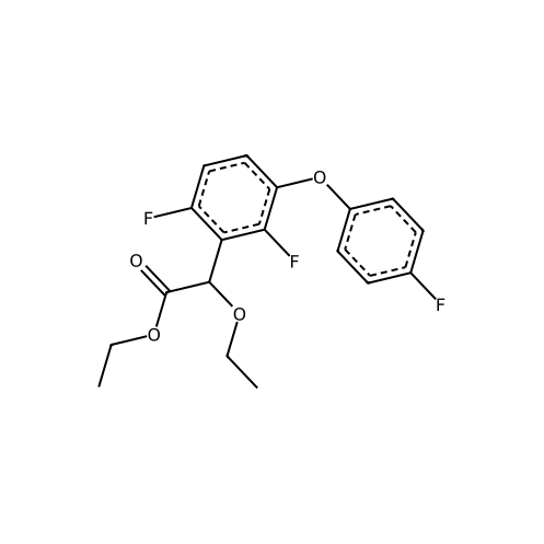 CCOC(=O)C(OCC)c1c(F)ccc(Oc2ccc(F)cc2)c1F